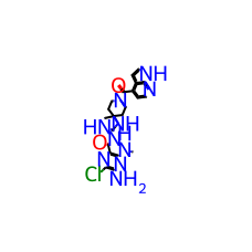 CNc1nc(N)c(Cl)nc1C(=O)/N=C1\NCC2(CCN(C(=O)c3ccnc4[nH]ccc34)CC2)N1